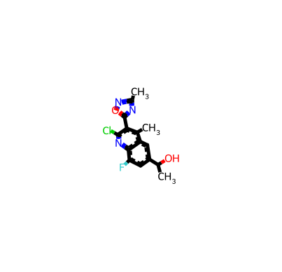 Cc1noc(-c2c(Cl)nc3c(F)cc(C(C)O)cc3c2C)n1